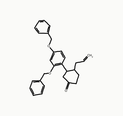 C=CCC1CCC(=O)CC1c1ccc(OCc2ccccc2)cc1OCc1ccccc1